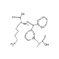 CC(C(=O)O)c1cccc(C(=O)c2ccccc2)c1.NCCCCC(N)C(=O)O